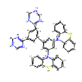 c1ccc2c(c1)Sc1ccccc1N2c1cc(-c2cc(-c3ncncn3)cc(-c3ncncn3)c2)cc(N2c3ccccc3Sc3ccccc32)c1